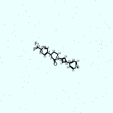 O=C1CC(c2cnc(C(F)F)nc2)CCN1C12CC(c3ccncc3)(C1)C2